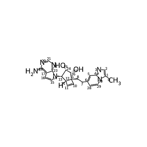 Cc1cnc2cc(CC[C@@]34C=C[C@@H]3[C@@H](n3ccc5c(N)ncnc53)[C@H](O)[C@@H]4O)ccn12